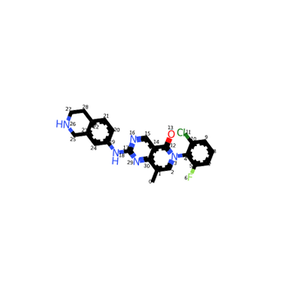 Cc1cn(-c2c(F)cccc2Cl)c(=O)c2cnc(Nc3ccc4c(c3)CNCC4)nc12